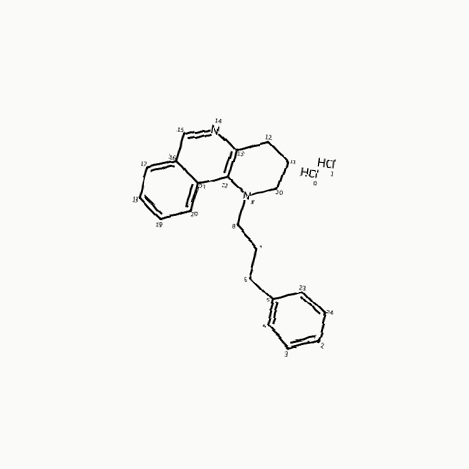 Cl.Cl.c1ccc(CCCN2CCCc3ncc4ccccc4c32)cc1